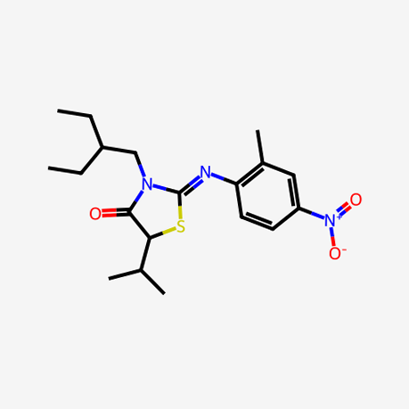 CCC(CC)CN1C(=O)C(C(C)C)SC1=Nc1ccc([N+](=O)[O-])cc1C